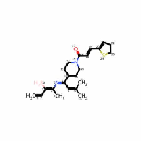 B/C(C=C)=C(C)\N=C(/C=C(C)C)C1CCN(C(=O)/C=C/C2=CCCS2)CC1